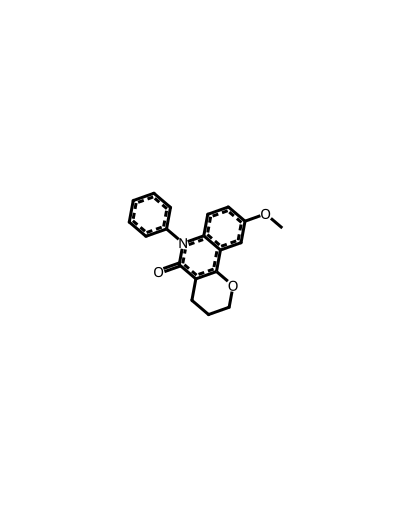 COc1ccc2c(c1)c1c(c(=O)n2-c2ccccc2)CCCO1